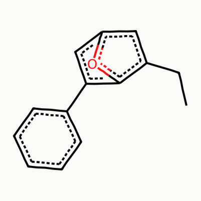 CCc1cc2cc(-c3ccccc3)c1o2